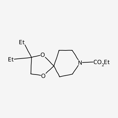 CCOC(=O)N1CCC2(CC1)OCC(CC)(CC)O2